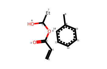 C=CC(=O)OC(O)CC.Cc1ccccc1